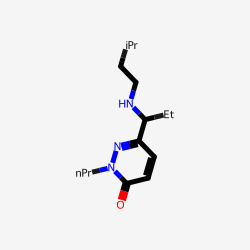 CCCn1nc(C(CC)NCCC(C)C)ccc1=O